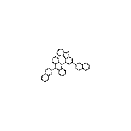 c1ccc2cc(-c3cc(-c4c5ccccc5c(-c5ccc6ccccc6c5)c5ccccc45)c4c(c3)sc3ccccc34)ccc2c1